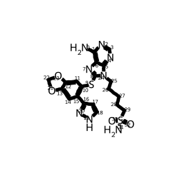 Nc1ncnc2c1nc(Sc1cc3c(cc1-c1cc[nH]n1)OCO3)n2CCCCCS(N)(=O)=O